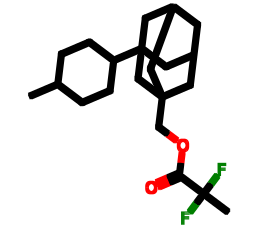 CC1CCC(C23CC4CC(CC(COC(=O)C(C)(F)F)(C4)C2)C3)CC1